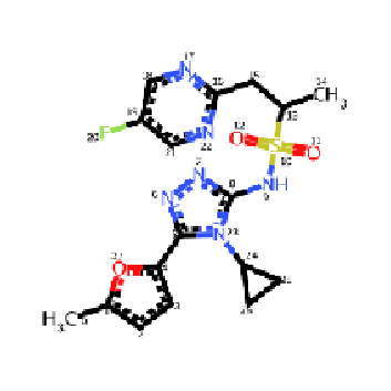 Cc1ccc(-c2nnc(NS(=O)(=O)C(C)Cc3ncc(F)cn3)n2C2CC2)o1